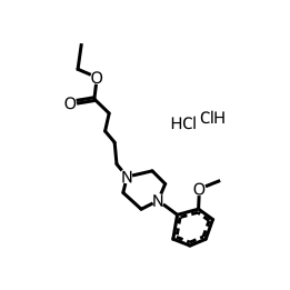 CCOC(=O)CCCCN1CCN(c2ccccc2OC)CC1.Cl.Cl